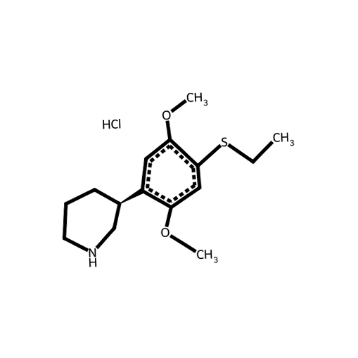 CCSc1cc(OC)c([C@@H]2CCCNC2)cc1OC.Cl